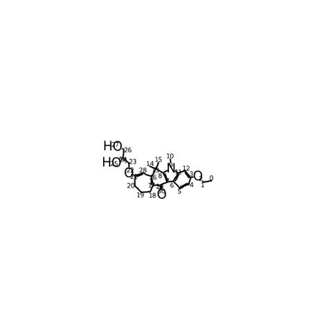 CCOc1ccc2c3c(n(C)c2c1)C(C)(C)C1=C(CCCC(OC[C@H](O)CO)=C1)C3=O